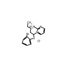 CCCCC(Sc1ccccc1Br)[n+]1cccnc1N.[Cl-]